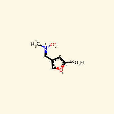 C[N+]([O-])=Cc1coc(S(=O)(=O)O)c1